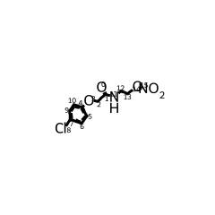 O=C(COc1ccc(Cl)cc1)NCCO[N+](=O)[O-]